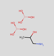 CC(O)CN.OB(O)O.OB(O)O